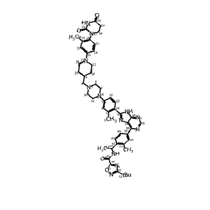 Cc1cc(N2CCN(CC3CCN(c4ccc(N5CCC(=O)NC5=O)c(C)c4)CC3)CC2)ccc1-c1nc2c(-c3ccc(C(C)NC(=O)c4nc(C(C)(C)C)no4)c(C)c3)ncnc2[nH]1